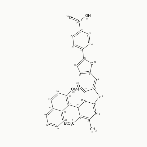 CCOC(=O)C1=C(C)N=c2s/c(=C/c3ccc(-c4ccc([N+](=O)O)cc4)o3)c(=O)n2C1c1c(OC)ccc2ccccc12